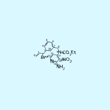 C=CCc1cccc(CN(C(=O)OCC)c2cc(Br)nc(N)c2[N+](=O)[O-])c1